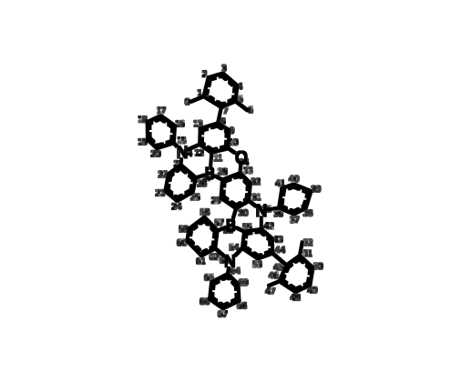 Cc1cccc(C)c1-c1cc2c3c(c1)N(c1ccccc1)c1ccccc1B3c1cc3c(cc1O2)N(c1ccccc1)c1cc(-c2c(C)cccc2C)cc2c1B3c1ccccc1N2c1ccccc1